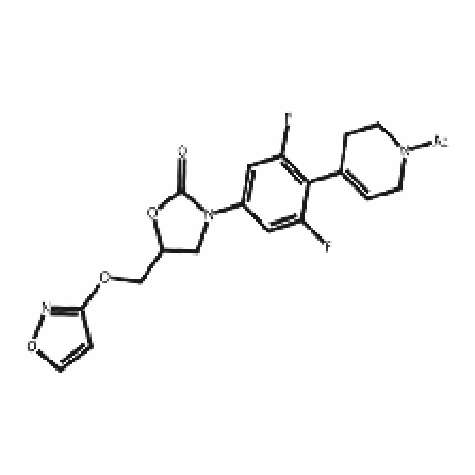 CC(=O)N1CC=C(c2c(F)cc(N3CC(COc4ccon4)OC3=O)cc2F)CC1